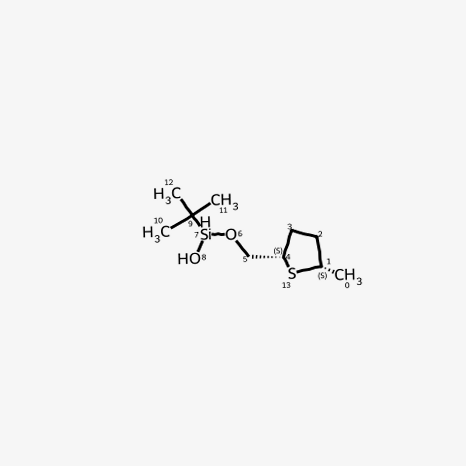 C[C@H]1CC[C@@H](CO[SiH](O)C(C)(C)C)S1